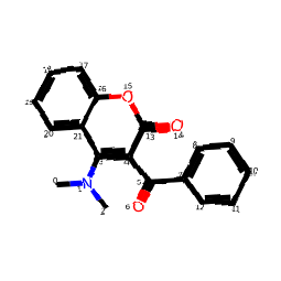 CN(C)c1c(C(=O)c2ccccc2)c(=O)oc2ccccc12